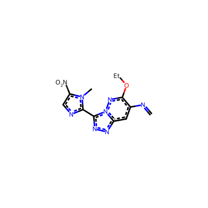 C=Nc1cc2nnc(-c3ncc([N+](=O)[O-])n3C)n2nc1OCC